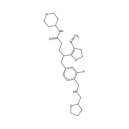 C=NC1=C(C(CCC(=O)NC2CCOCC2)Cc2ccc(CNCC3CCCO3)c(F)c2)OCC1